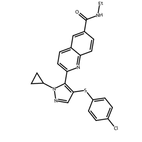 CCNC(=O)c1ccc2nc(-c3c(Sc4ccc(Cl)cc4)cnn3C3CC3)ccc2c1